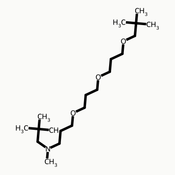 CN(CCCOCCCOCCCOCC(C)(C)C)CC(C)(C)C